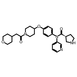 O=C(CC1CCOCC1)N1CCC(Oc2ccc(N(C(=O)[C@H]3CCNC3)c3cccnc3)cc2)CC1